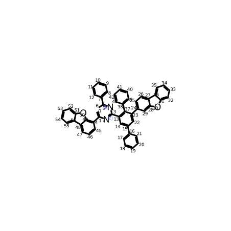 C=C(/N=C(\N=C(/C)c1ccccc1)c1cc(-c2ccccc2)cc(-c2ccc3c(c2)oc2ccccc23)c1-c1ccccc1)c1cccc2c1oc1ccccc12